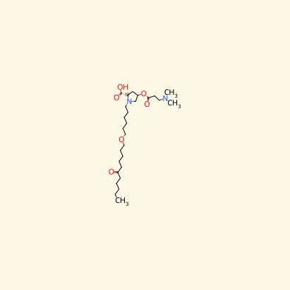 CCCCCC(=O)CCCCCOCCCCCCN1CC(OC(=O)CCN(C)C)C[C@H]1C(=O)O